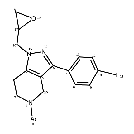 CC(=O)N1CCc2c(c(-c3ccc(I)cc3)nn2CC2CO2)C1